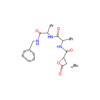 CC[C@H](C)C1C(=O)OC1C(=O)NC(C(=O)NC(C(=O)NCc1ccccc1)C(C)C)C(C)C